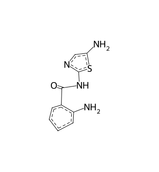 Nc1cnc(NC(=O)c2ccccc2N)s1